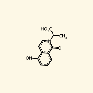 C[C@H](C(=O)O)n1ccc2c(N=O)cccc2c1=O